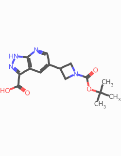 CC(C)(C)OC(=O)N1CC(c2cnc3[nH]nc(C(=O)O)c3c2)C1